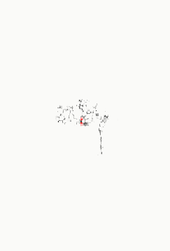 COP(=O)(N(C)C)N1CC(COP(=O)(N(C)C)N2CC(COP(=O)(N(C)C)N3CC(COP(=O)(N(C)C)N4CCN(C(=O)OCCOCCOCCO)CC4)OC(n4ccc(N)nc4=O)C3)OC(n3cnc4c(=O)[nH]c(N)nc43)C2)OC(n2cnc3c(=O)[nH]c(N)nc32)C1